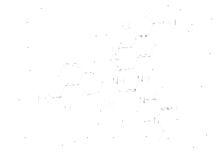 CCN1CCN(C(=O)NC(C(=O)N[C@H]2Cc3cccc(C(=O)O)c3OB2O)c2ccc(C(=O)O)c(Cl)c2Cl)C(=O)C1=O